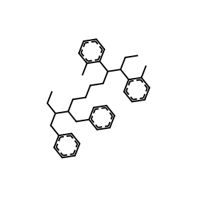 CCC(Cc1ccccc1)C(CCCCC(c1ccccc1C)C(CC)c1ccccc1C)Cc1ccccc1